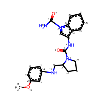 NC(=O)n1cc(NC(=O)N2CCCC2CNc2cccc(OC(F)(F)F)c2)c2ccccc21